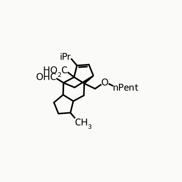 CCCCCOCC12CC3C(C)CCC3C3(C=O)CC1C=C(C(C)C)C32C(=O)O